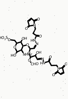 CC(=O)NC1C(O)OC(COS(=O)(=O)O)C(O)C1OC(/C=N\NC(=O)CCN1C(=O)C=CC1=O)OC(OC=O)C(O)/C=N/NC(=O)CCN1C(=O)C=CC1=O